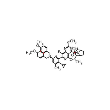 COc1ccc(CN(Cc2ccc(OC)cc2)c2cc(C)c(C3CC3)c(-c3nc4c5c(nc(SC)nc5c3F)N3CC5CCC(C3C(C)O4)N5C(=O)O)n2)cc1